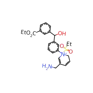 CCOC(=O)c1cccc(C(O)c2cccc([N+]3(S(=O)(=O)CC)C=C(CN)C=CC3)c2)c1